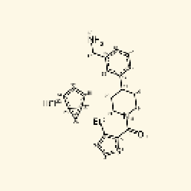 CCc1ccsc1C(=O)N1CCC(c2cccc(CN)c2)CC1.Cl.c1cc2cc-2c1